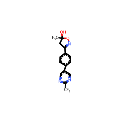 OC1(C(F)(F)F)CC(c2ccc(-c3cnc(C(F)(F)F)nc3)cc2)=NO1